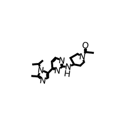 CC(=O)N1CCC(Nc2nccc(-c3cnc(C)n3C(C)C)n2)CC1